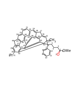 COC(=O)CCCC1(c2ccccc2)C2(C)C=C3Cc4cc5ccc6cc7c8c9c(cc(C(C)C)c%10c9c9c(c3c4c3c5c6c8c93)C%1021)C7